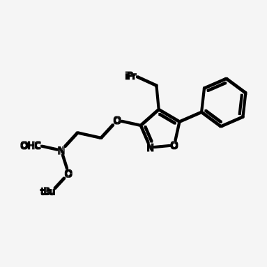 CC(C)Cc1c(OCCN(C=O)OC(C)(C)C)noc1-c1ccccc1